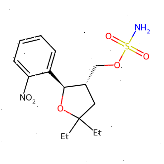 CCC1(CC)C[C@@H](COS(N)(=O)=O)[C@H](c2ccccc2[N+](=O)[O-])O1